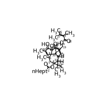 CCCCCCCC(=O)O[C@@]12CC(C)C34C=C(C)[C@H](O)[C@@]3(O)[C@H](O)C(COC(=O)C(C)=C(C)C)=C[C@H](C4=O)[C@@H]1C2(C)C